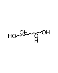 OCCCC(O)CCCCCCC(O)CCCO